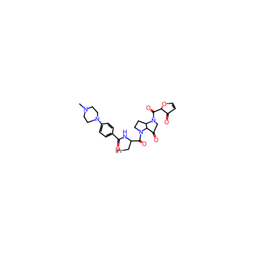 CC(C)CC(NC(=O)c1ccc(N2CCN(C)CC2)cc1)C(=O)N1CCC2C1C(=O)CN2C(=O)C1OC=CC1=O